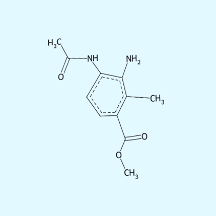 COC(=O)c1ccc(NC(C)=O)c(N)c1C